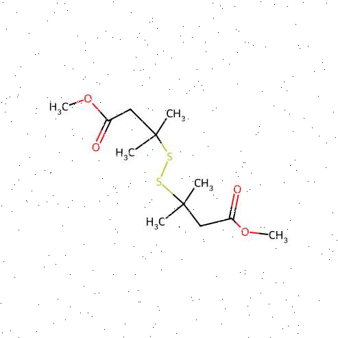 COC(=O)CC(C)(C)SSC(C)(C)CC(=O)OC